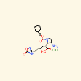 Cl.N[C@H]1CCN(C(=O)OCc2ccccc2)[C@@H]1C(CCCCc1noc(=O)[nH]1)C(=O)O